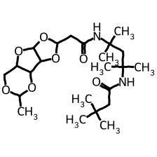 CC1OCC2OC3OC(CC(=O)NC(C)(C)CC(C)(C)NC(=O)CC(C)(C)C)OC3C2O1